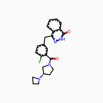 O=C(c1cc(Cc2n[nH]c(=O)c3ccccc23)ccc1F)N1CC[C@@H](N2CCC2)C1